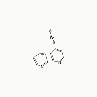 [Br][Fe][Br].c1ccncc1.c1ccncc1